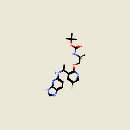 CC(Nc1ccc2nc[nH]c2n1)c1cc(F)cnc1OC[C@H](C)NC(=O)OC(C)(C)C